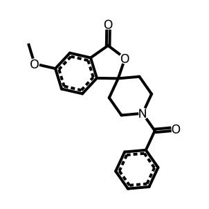 COc1ccc2c(c1)C(=O)OC21CCN(C(=O)c2ccccc2)CC1